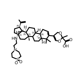 C=C(C)[C@@H]1CC[C@]2(NCCN3CCS(=O)(=O)CC3)CC[C@@]3(C)C4CC[C@H]5C(C)(C)C(C6=COC(C)(C(=O)O)OC6)=CC[C@]5(C)[C@H]4CC[C@@H]3[C@@H]12